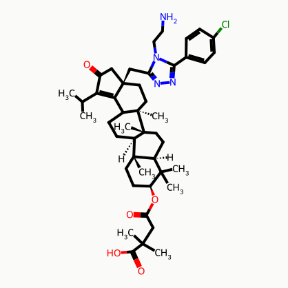 CC(C)C1=C2C3CC[C@@H]4[C@@]5(C)CC[C@H](OC(=O)CC(C)(C)C(=O)O)C(C)(C)[C@@H]5CC[C@@]4(C)[C@]3(C)CC[C@@]2(Cc2nnc(-c3ccc(Cl)cc3)n2CCN)CC1=O